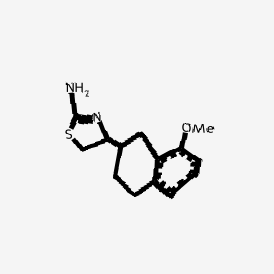 COc1cccc2c1CC(C1CSC(N)=N1)CC2